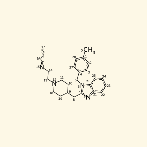 Cc1ccc(Cn2c(CC3CCN(CCN=C=S)CC3)nc3ccccc32)cc1